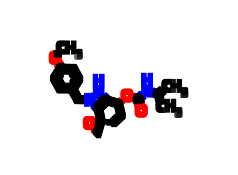 COc1ccc(Cn2[nH]c3c2[C@@]2(CC[C@@H]3OC(=O)NC(C)C)CO2)cc1